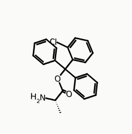 C[C@H](N)C(=O)OC(c1ccccc1)(c1ccccc1)c1ccccc1Cl